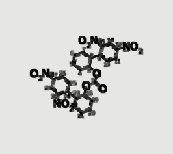 O=C(Oc1ccccc1-c1ccc([N+](=O)[O-])cc1[N+](=O)[O-])Oc1ccccc1-c1ccc([N+](=O)[O-])cc1[N+](=O)[O-]